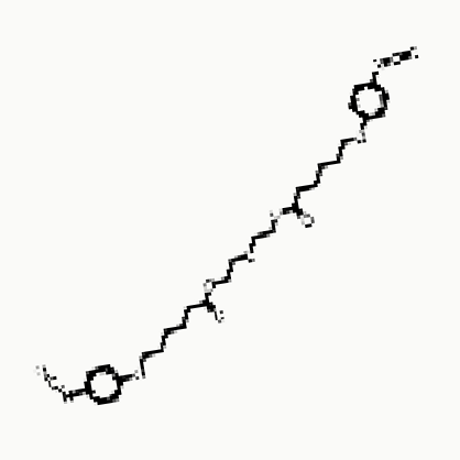 O=C=Nc1ccc(OCCCCCC(=O)OCCOCCOC(=O)CCCCCOc2ccc(N=C=O)cc2)cc1